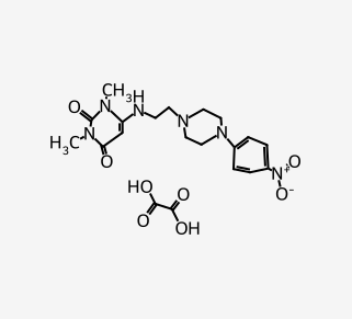 Cn1c(NCCN2CCN(c3ccc([N+](=O)[O-])cc3)CC2)cc(=O)n(C)c1=O.O=C(O)C(=O)O